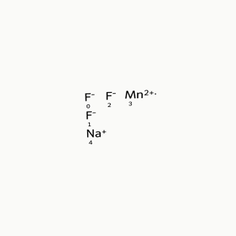 [F-].[F-].[F-].[Mn+2].[Na+]